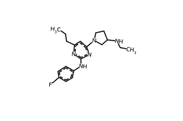 CCCc1cc(N2CCC(NCC)C2)nc(Nc2ccc(F)cc2)n1